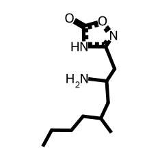 CCCCC(C)CC(N)Cc1noc(=O)[nH]1